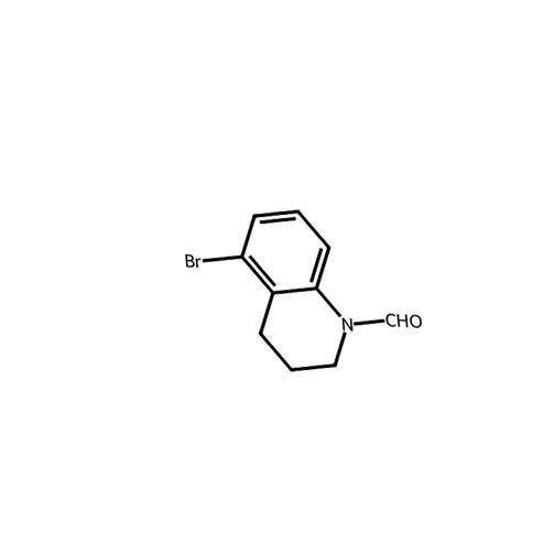 O=CN1CCCc2c(Br)cccc21